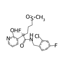 C[S+]([O-])CCC[C@@](F)(C(=O)NCc1ccc(F)cc1Cl)c1cccnc1O